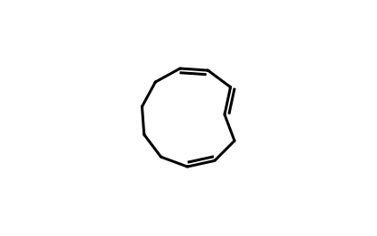 C1=C\CCCC/C=C\C/C=C/1